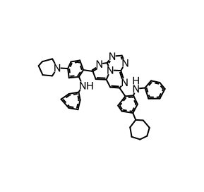 C1=NC2=NC(c3ccc(C4CCCCCC4)cc3Nc3ccccc3)=CC3=CC(c4ccc(N5CCCCC5)cc4Nc4ccccc4)=NC(=N1)N32